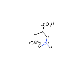 CC(CN(C)C)C(=O)O.[CaH2]